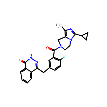 O=C(c1cc(Cc2n[nH]c(=O)c3ccccc23)ccc1F)N1CCn2c(C3CC3)nc(C(F)(F)F)c2C1